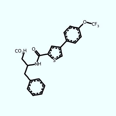 O=C(O)CC(Cc1ccccc1)NC(=O)c1cc(-c2ccc(OC(F)(F)F)cc2)cs1